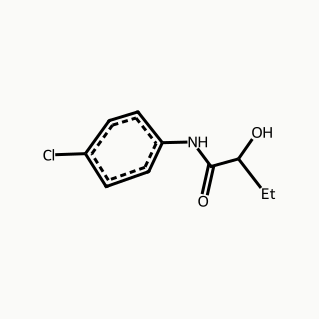 CCC(O)C(=O)Nc1ccc(Cl)cc1